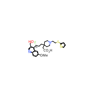 COc1ccc2ncc(CO)c([C@H](F)CCC3(CC(=O)O)CCN(CCSc4cccs4)CC3)c2c1